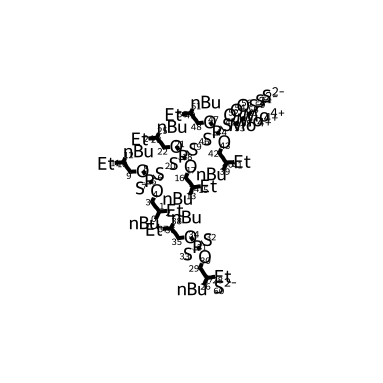 CCCCC(CC)COP(=S)([S-])OCC(CC)CCCC.CCCCC(CC)COP(=S)([S-])OCC(CC)CCCC.CCCCC(CC)COP(=S)([S-])OCC(CC)CCCC.CCCCC(CC)COP(=S)([S-])OCC(CC)CCCC.[O]=[Mo+4].[O]=[Mo+4].[O]=[Mo+4].[S-2].[S-2].[S-2].[S-2]